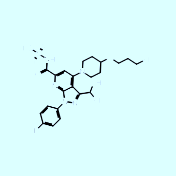 CCCCOC1CCN(c2cc(C(=O)NS(C)(=O)=O)nc3c2c(C(C)C)nn3-c2ccc(F)cc2)CC1